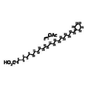 C=COC(C)=O.O=C(O)CCCCCCCCCCCCCCCCCCCCCCCC1CCCCC1